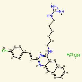 Cl.Cl.N=C(N)NCCCCCCNc1nc(/C=C/c2ccc(Cl)cc2)nc2cc3ccccc3cc12